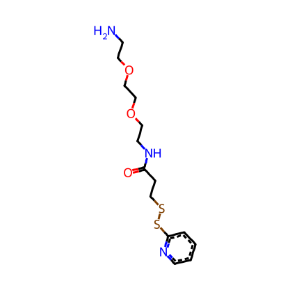 NCCOCCOCCNC(=O)CCSSc1ccccn1